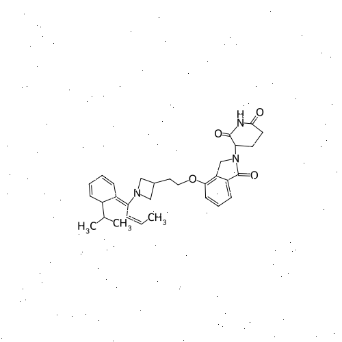 C/C=C\C(=C1\C=CC=CC1C(C)C)N1CC(CCOc2cccc3c2CN(C2CCC(=O)NC2=O)C3=O)C1